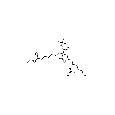 CCCCCC(CCCC(CCCCCCC(=O)OCC)(C(C)=O)C(=O)OC(C)(C)C)OC(C)=O